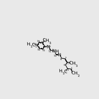 C=CC(C)CC(C)=CC/N=C/N/C=N/c1ccc(C)cc1C